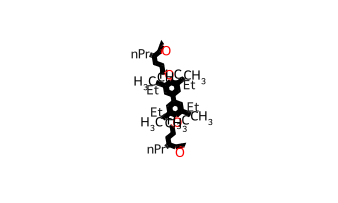 CCCC(CCCOc1c(C(C)(C)CC)cc(-c2cc(C(C)(C)CC)c(OCCCC(CCC)C3CO3)c(C(C)(C)CC)c2)cc1C(C)(C)CC)C1CO1